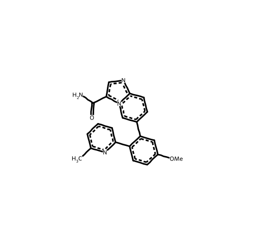 COc1ccc(-c2cccc(C)n2)c(-c2ccc3ncc(C(N)=O)n3c2)c1